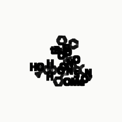 COc1ccccc1C(Cn1c(=O)n(C(C)(C)C(=O)O[Si](c2ccccc2)(c2ccccc2)C(C)(C)C)c(=O)c2c(C)c(-c3ncco3)sc21)OC1C[C@@H]2CC(O)(C3CC3)C[C@@H]2C1